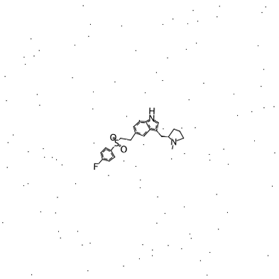 CN1CCC[C@@H]1Cc1c[nH]c2ccc(CCS(=O)(=O)c3ccc(F)cc3)cc12